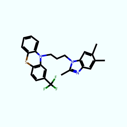 Cc1cc2nc(C)n(CCCN3c4ccccc4Sc4ccc(C(F)(F)F)cc43)c2cc1C